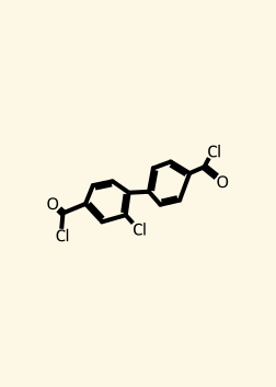 O=C(Cl)c1ccc(-c2ccc(C(=O)Cl)cc2Cl)cc1